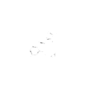 Cc1noc(C=Cc2ccccc2OC[C@@H]2CO2)n1